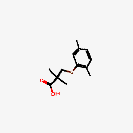 Cc1ccc(C)c(SCC(C)(C)C(=O)O)c1